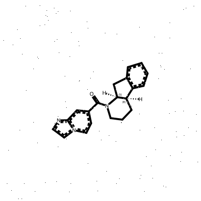 O=C(c1ccn2ccnc2c1)N1CCC[C@@H]2c3ccccc3C[C@@H]21